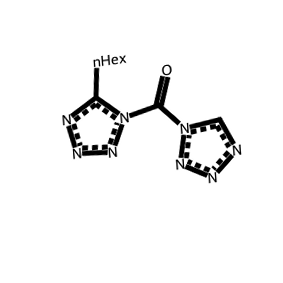 CCCCCCc1nnnn1C(=O)n1cnnn1